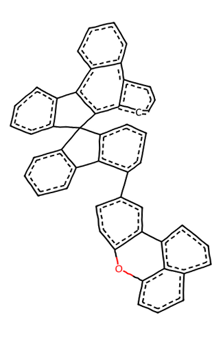 c1ccc2c(c1)-c1c(-c3ccc4c(c3)-c3cccc5cccc(c35)O4)cccc1C21c2ccccc2-c2c1c1ccccc1c1ccccc21